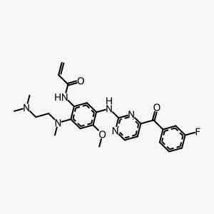 C=CC(=O)Nc1cc(Nc2nccc(C(=O)c3cccc(F)c3)n2)c(OC)cc1N(C)CCN(C)C